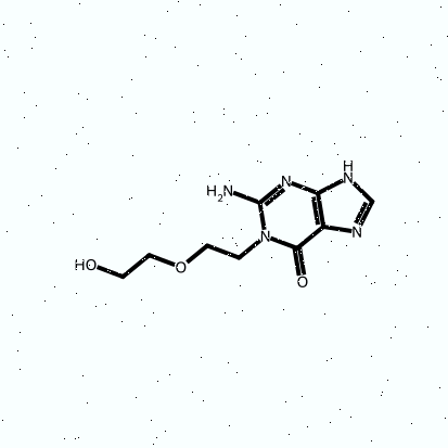 Nc1nc2[nH]cnc2c(=O)n1CCOCCO